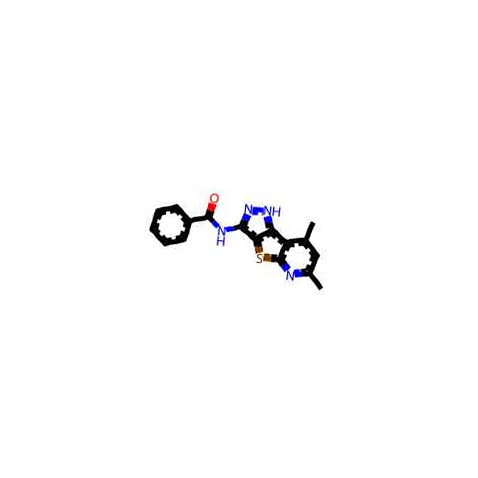 Cc1cc(C)c2c(n1)sc1c(NC(=O)c3ccccc3)n[nH]c12